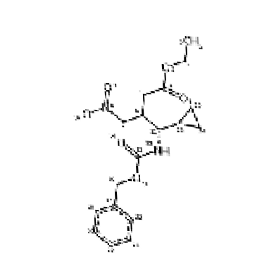 CCOC(=O)CC(C[N+](=O)[O-])[C@@H](NC(=O)OCc1ccccc1)C1CC1